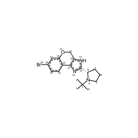 CC(C)(C)N1CCC[C@H]1c1nc2c([nH]1)COc1cc(Br)ccc1-2